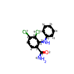 NC(=O)c1ccc(Cl)c(Cl)c1Nc1ccccc1